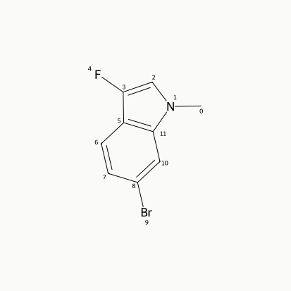 Cn1cc(F)c2ccc(Br)cc21